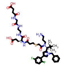 CC(C)(C)[C@H](c1cc(-c2cc(F)ccc2F)cn1Cc1ccccc1)N(CCCN)C(=O)CSCCC(=O)N[C@@H](CCC(=O)O)C(=O)NCCNC(=O)CNC(=O)CCC(=O)O